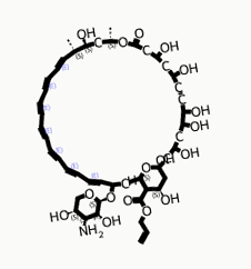 C=CCOC(=O)C1[C@@H]2CC(O[C@@H]3OC[C@@H](O)[C@H](N)[C@H]3O)/C=C/C=C/C=C/C=C/C=C/C=C/C=C/[C@H](C)[C@@H](O)C[C@H](C)OC(=O)CC(O)CC(O)CCC(O)C(O)CC(O)CC(O)(C[C@@H]1O)O2